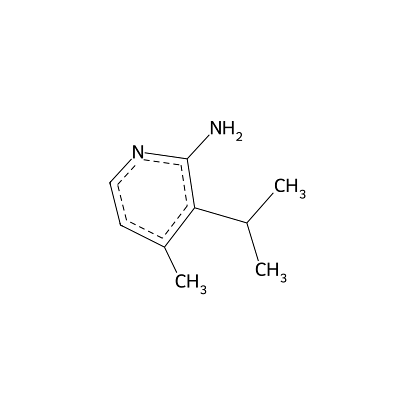 Cc1ccnc(N)c1C(C)C